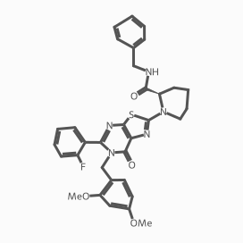 COc1ccc(Cn2c(-c3ccccc3F)nc3sc(N4CCCC[C@@H]4C(=O)NCc4ccccc4)nc3c2=O)c(OC)c1